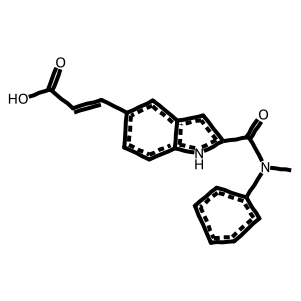 CN(C(=O)c1cc2cc(/C=C/C(=O)O)ccc2[nH]1)c1ccccc1